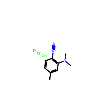 Cc1ccc([N+]#N)c(N(C)C)c1.Cl.[Cl-].[Zn]